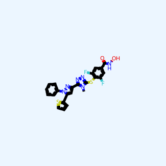 Cn1c(Sc2c(F)cc(C(=O)NO)cc2F)nnc1-c1cc(-c2cccs2)n(-c2ccccc2)n1